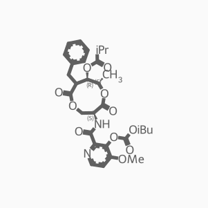 COc1ccnc(C(=O)N[C@H]2COC(=O)C(Cc3ccccc3)[C@@H](OC(=O)C(C)C)[C@H](C)OC2=O)c1OC(=O)OCC(C)C